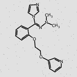 CN(C)/N=C(/c1ccccc1OCCOc1cccnc1)n1ccnc1